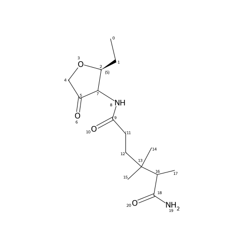 CC[C@@H]1OCC(=O)C1NC(=O)[CH]CC(C)(C)C(C)C(N)=O